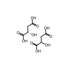 O=C(O)CC(O)C(=O)O.O=C(O)C[C@H](O)C(=O)O